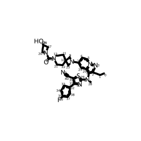 CCc1nn2ccc(N3CC4(CCN(C(=O)N5CC(O)C5)CC4)C3)cc2c1N(C)c1nc(-c2ccc(F)cc2)c(C#N)s1